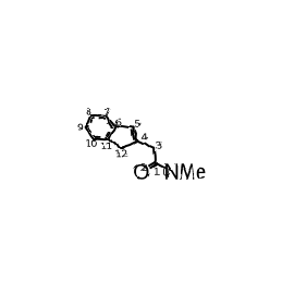 CNC(=O)CC1=Cc2ccccc2C1